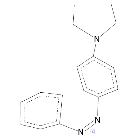 CCN(CC)c1ccc(/N=N\c2ccccc2)cc1